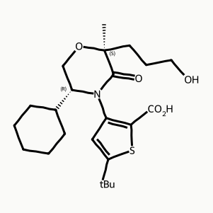 CC(C)(C)c1cc(N2C(=O)[C@](C)(CCCO)OC[C@H]2C2CCCCC2)c(C(=O)O)s1